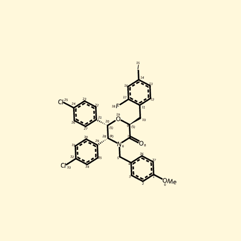 COc1ccc(CN2C(=O)[C@H](Cc3ccc(I)cc3F)O[C@@H](c3ccc(Cl)cc3)[C@H]2c2ccc(Cl)cc2)cc1